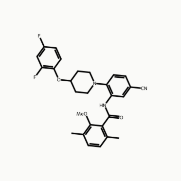 COc1c(C)ccc(C)c1C(=O)Nc1cc(C#N)ccc1N1CCC(Oc2ccc(F)cc2F)CC1